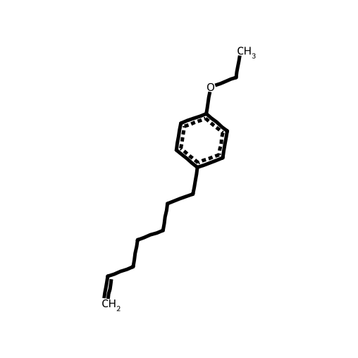 C=CCCCCCc1ccc(OCC)cc1